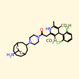 CC1=C(C(=O)O)C(c2c(Cl)cccc2Cl)C(C(=O)O)=C(CC(=O)N2CCN(C3CC4CCCCC(CC(N)C4)C3)CC2)N1